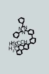 CC1(C)c2ccccc2-c2ccc(-c3cccc(-c4cccc(-c5nc(-c6ccccc6)nc(-c6ccccc6)n5)c4)c3)cc2C1(C)C